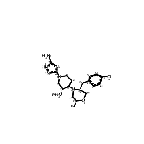 CO[C@@H]1CN(c2n[nH]c(N)n2)CC[C@H]1N1C[C@H](C)OC[C@@H]1Cc1ccc(Cl)cc1